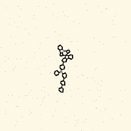 c1ccc(-c2ccc(-c3cccc(N(c4ccccc4)c4ccc(-c5ccc6c(c5)-c5ccccc5C65c6ccccc6-n6c7ccccc7c7cccc5c76)cc4)c3)cc2)cc1